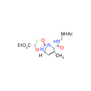 CCOC(=O)[C@H](F)ON1C(=O)N2C[C@H]1C=C(C)[C@H]2C(=O)NCNC(C)=O